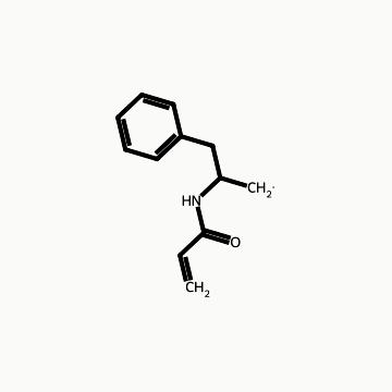 [CH2]C(Cc1ccccc1)NC(=O)C=C